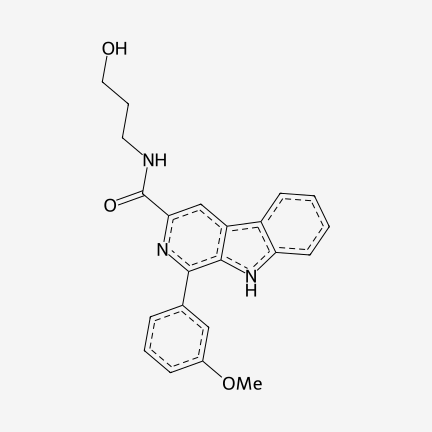 COc1cccc(-c2nc(C(=O)NCCCO)cc3c2[nH]c2ccccc23)c1